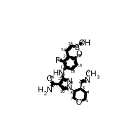 CN=C[C@H]1CCOC[C@@H]1n1cc(C(N)=O)c(Nc2ccc3c(c2F)C=CB(O)O3)n1